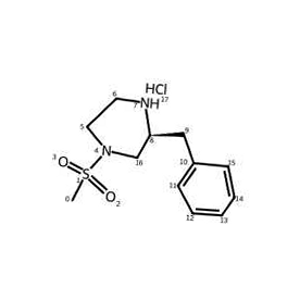 CS(=O)(=O)N1CCN[C@@H](Cc2ccccc2)C1.Cl